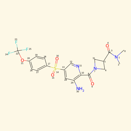 CN(C)C(=O)C1CN(C(=O)c2ncc(S(=O)(=O)c3ccc(OC(F)(F)F)cc3)cc2N)C1